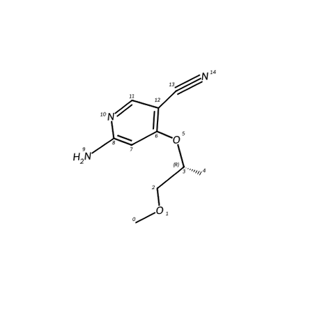 COC[C@@H](C)Oc1cc(N)ncc1C#N